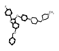 CN1CCN(CC2CCN(c3ccc(Oc4c(-c5ccc(F)cc5)sc5cc(OCc6ccccc6)ccc45)cc3)CC2)CC1